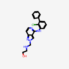 OCCNCn1cc2c(Nc3cccc(-c4ccccc4)c3Cl)nccc2n1